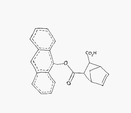 O=C(O)C1C2C=CC(C2)C1C(=O)Oc1c2ccccc2cc2ccccc12